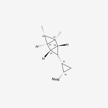 CN[C@H]1C[C@H]1C1[C@@H]2[C@H]3[C@H](C)[C@@]3(C)[C@H]12